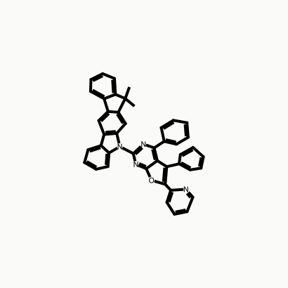 CC1(C)c2ccccc2-c2cc3c4ccccc4n(-c4nc(-c5ccccc5)c5c(-c6ccccc6)c(-c6ccccn6)oc5n4)c3cc21